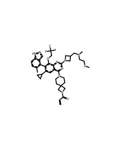 C=CC(=O)N1CC2(CCN(c3nc(N4CC(CN(C)CCOC)C4)nc4c(OCC(F)(F)F)c(-c5c(C)ccc6[nH]ncc56)c(C5CC5)cc34)CC2)C1